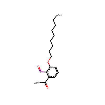 CCCCCCCCCCCCCCCCCCOc1cccc(C(=O)NC(C)=O)c1I=O